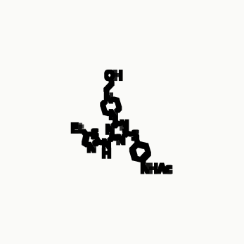 CCc1cnc(Nc2nc(Sc3ccc(NC(C)=O)cc3)nc(N3CCN(CCO)CC3)n2)s1